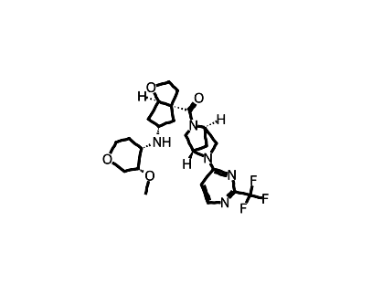 CO[C@@H]1COCC[C@@H]1N[C@@H]1C[C@H]2OCC[C@@]2(C(=O)N2C[C@@H]3C[C@@H]2CN3c2ccnc(C(F)(F)F)n2)C1